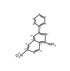 Nc1nc(-c2ccccn2)cc2cc([N+](=O)[O-])ccc12